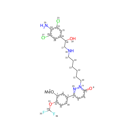 COc1cc(-c2ccc(=O)n(CCCCCCNCC(O)c3cc(Cl)c(N)c(Cl)c3)n2)ccc1OC(F)F